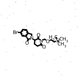 C[Si](C)(C)CCOCN1C(=O)CCC(N2Cc3ccc(Br)cc3C2=O)C1=O